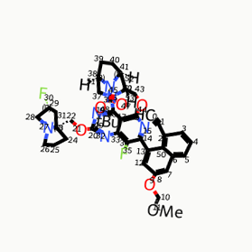 C#Cc1cccc2cc(OCOC)cc(-c3nc4c5c(nc(OC[C@]67CCCN6C[C@H](F)C7)nc5c3F)N3C[C@H]5CC[C@@H]([C@@H]3CO4)N5C(=O)OC(C)(C)C)c12